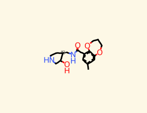 Cc1cc2c(c(C(=O)NC[C@@H]3CCNCC3O)c1)OCCCO2